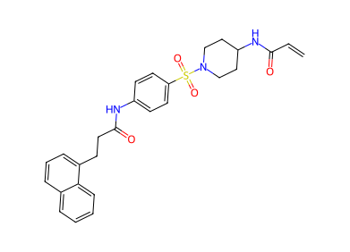 C=CC(=O)NC1CCN(S(=O)(=O)c2ccc(NC(=O)CCc3cccc4ccccc34)cc2)CC1